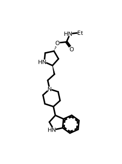 CCNC(=O)O[C@H]1CN[C@H](CCN2CCC(C3CNc4ccccc43)CC2)C1